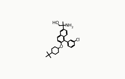 CC(N)(CO)c1ccc2c(-c3cccc(Cl)c3)c(OC3CCC(C(C)(C)C)CC3)ccc2c1